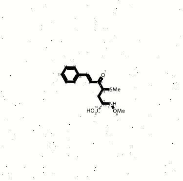 CON[C@@H](CC(SC)C(=O)C=Cc1ccccc1)C(=O)O